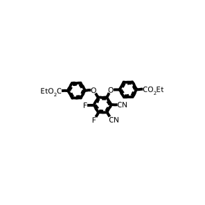 CCOC(=O)c1ccc(Oc2c(F)c(F)c(C#N)c(C#N)c2Oc2ccc(C(=O)OCC)cc2)cc1